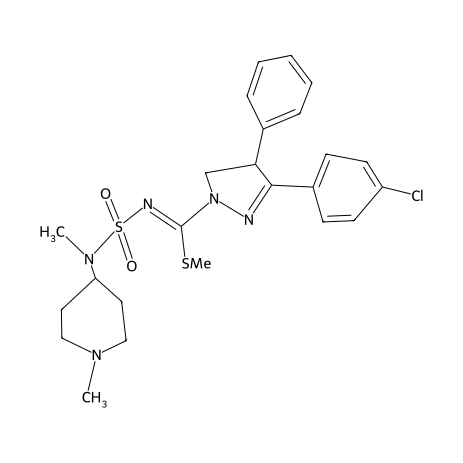 CSC(=NS(=O)(=O)N(C)C1CCN(C)CC1)N1CC(c2ccccc2)C(c2ccc(Cl)cc2)=N1